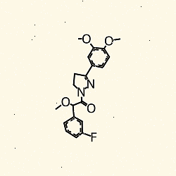 COc1ccc(C2=NN(C(=O)C(OC)c3cccc(F)c3)CC2)cc1OC